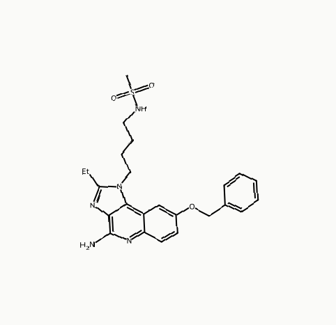 CCc1nc2c(N)nc3ccc(OCc4ccccc4)cc3c2n1CCCCNS(C)(=O)=O